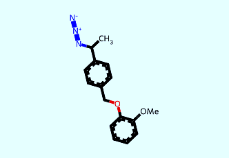 COc1ccccc1OCc1ccc(C(C)N=[N+]=[N-])cc1